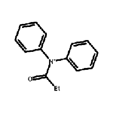 CCC(=O)[N+](c1ccccc1)c1ccccc1